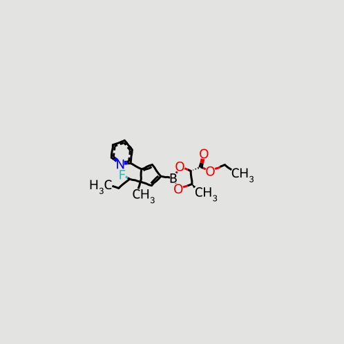 CCOC(=O)[C@H]1OB(C2=CC(C)(C(F)CC)C(c3ccccn3)=C2)O[C@@H]1C